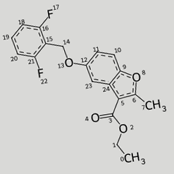 CCOC(=O)c1c(C)oc2ccc(OCc3c(F)cccc3F)cc12